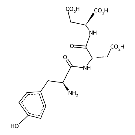 N[C@@H](Cc1ccc(O)cc1)C(=O)N[C@@H](CC(=O)O)C(=O)N[C@@H](CC(=O)O)C(=O)O